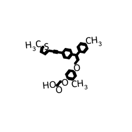 Cc1ccc(/C(=C/COc2ccc(OCC(=O)O)c(C)c2)c2ccc(C#Cc3ccc(C)s3)cc2)cc1